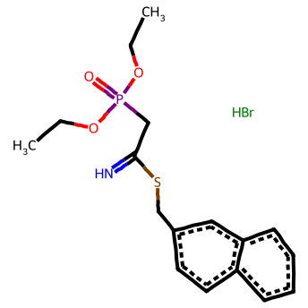 Br.CCOP(=O)(CC(=N)SCc1ccc2ccccc2c1)OCC